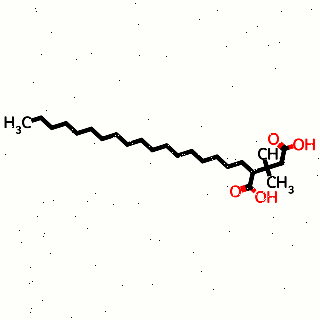 CCCCCCCCCCCCCCCCCCC(C(=O)O)C(C)(C)CC(=O)O